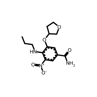 CCCNc1c(OC2CCOC2)cc(C(N)=O)cc1[N+](=O)[O-]